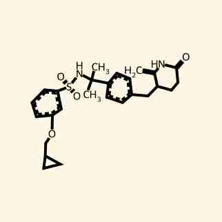 C=C1NC(=O)CCC1Cc1ccc(C(C)(C)NS(=O)(=O)c2cccc(OCC3CC3)c2)cc1